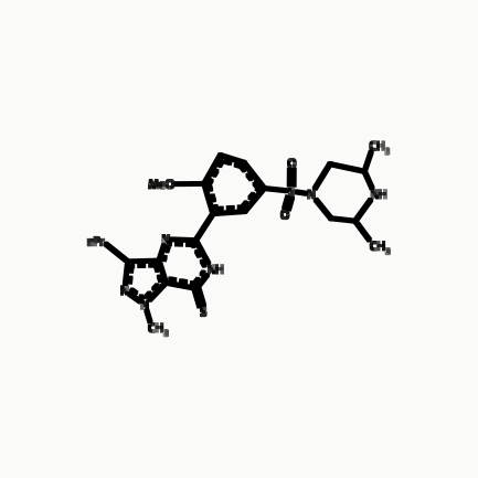 CCCc1nn(C)c2c(=S)[nH]c(-c3cc(S(=O)(=O)N4CC(C)NC(C)C4)ccc3OC)nc12